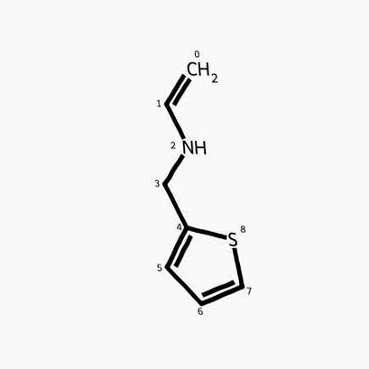 C=CNCc1cccs1